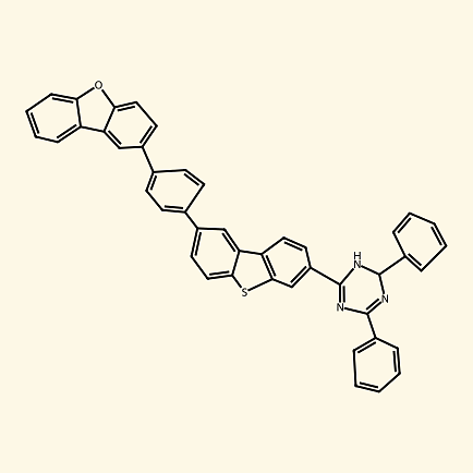 c1ccc(C2=NC(c3ccccc3)NC(c3ccc4c(c3)sc3ccc(-c5ccc(-c6ccc7oc8ccccc8c7c6)cc5)cc34)=N2)cc1